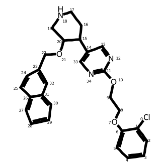 Clc1ccccc1OCCOc1ncc(C2CCNCC2OCc2ccc3ccccc3c2)cn1